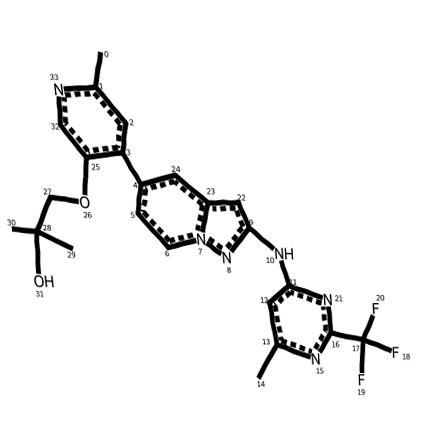 Cc1cc(-c2ccn3nc(Nc4cc(C)nc(C(F)(F)F)n4)cc3c2)c(OCC(C)(C)O)cn1